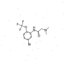 CN(C)CC(=O)Nc1cc(Br)ccc1OC(F)(F)F